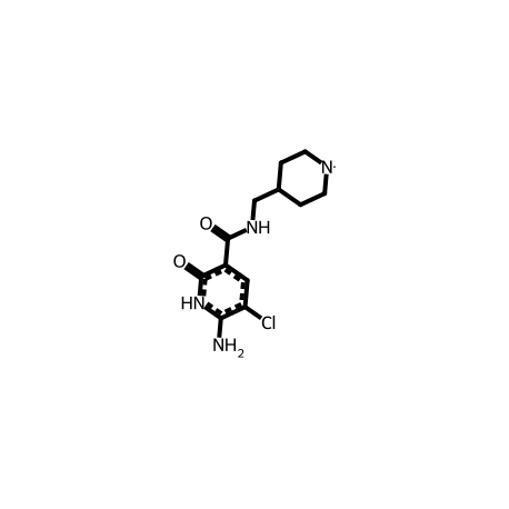 Nc1[nH]c(=O)c(C(=O)NCC2CC[N]CC2)cc1Cl